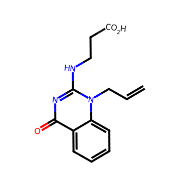 C=CCn1c(NCCC(=O)O)nc(=O)c2ccccc21